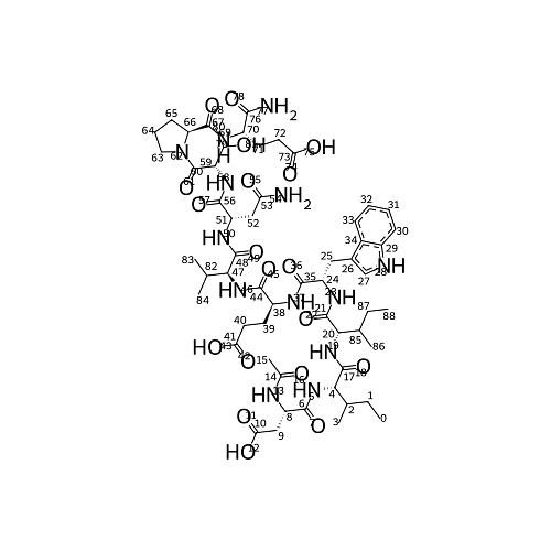 CCC(C)[C@H](NC(=O)[C@H](CC(=O)O)NC(C)=O)C(=O)N[C@H](C(=O)N[C@@H](Cc1c[nH]c2ccccc12)C(=O)N[C@@H](CCC(=O)O)C(=O)N[C@H](C(=O)N[C@@H](CC(N)=O)C(=O)N[C@H](C(=O)N1CCC[C@H]1C(=O)N[C@@H](CCC(=O)O)C(N)=O)C(C)O)C(C)C)C(C)CC